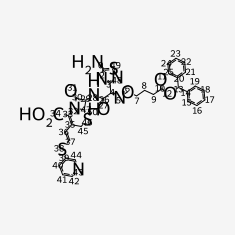 Nc1nc(/C(=N\OCCCC(=O)OC(c2ccccc2)c2ccccc2)C(=O)NC2C(=O)N3C(C(=O)O)=C(/C=C/Sc4cccnc4)CS[C@H]23)ns1